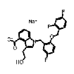 O=C([O-])c1cccc2c1c(CCO)cn2Cc1cc(F)ccc1OCc1ccc(F)cc1F.[Na+]